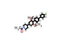 CC(=O)N1CCC(C2CC(=O)C(c3c(C)cc(-c4ccc(F)cc4)cc3C)C(=O)C2)CC1